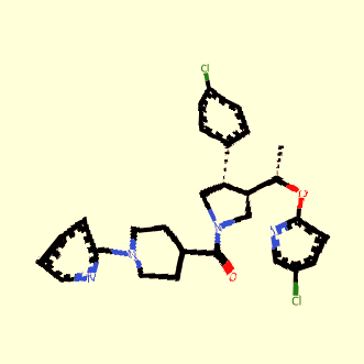 C[C@H](Oc1ccc(Cl)cn1)[C@H]1CN(C(=O)C2CCN(c3ccccn3)CC2)C[C@@H]1c1ccc(Cl)cc1